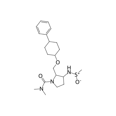 CN(C)C(=O)N1CCC(N[S+](C)[O-])C1COC1CCC(c2ccccc2)CC1